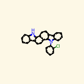 Clc1ccccc1-n1c2ccccc2c2ccc3c(ccc4c5ccccc5[nH]c43)c21